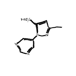 Cc1cc(C(=O)O)n(-c2cncnc2)n1